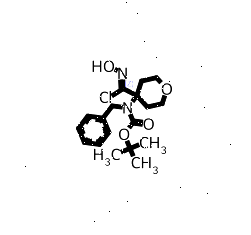 CC(C)(C)OC(=O)N(Cc1ccccc1)C1(/C(Cl)=N/O)CCOCC1